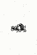 Cc1cccc(C)c1-c1cc2nc(n1)NS(=O)(=O)c1cccc(c1)C(=O)N(C1CCN(C(=O)OC(C)(C)C)C1)[C@H](CC(C)C)CO2